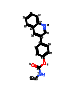 CC(C)(C)NC(=O)Oc1ccc(-c2cnc3ccccc3c2)cc1